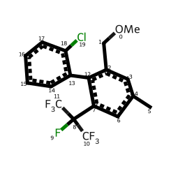 COCc1[c]c(C)cc(C(F)(C(F)(F)F)C(F)(F)F)c1-c1ccccc1Cl